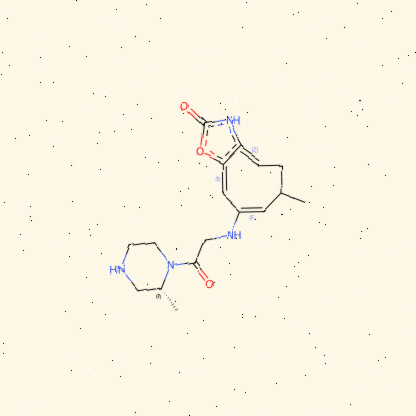 CC1\C=C(NCC(=O)N2CCNC[C@H]2C)/C=c2/oc(=O)[nH]/c2=C\C1